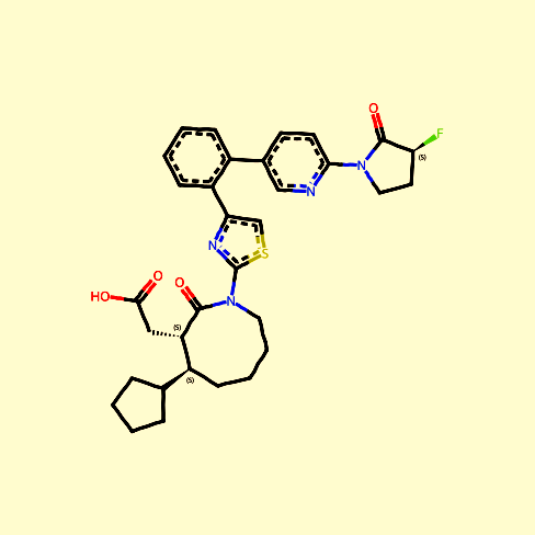 O=C(O)C[C@@H]1C(=O)N(c2nc(-c3ccccc3-c3ccc(N4CC[C@H](F)C4=O)nc3)cs2)CCCC[C@H]1C1CCCC1